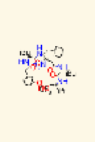 CCC(C)[C@H](NC(=O)Cc1cccc(OC(F)(F)F)c1)C(=O)NC(Cc1ccccc1)[C@@H](N)CC(=O)NC(C(=O)N[C@H](CO)C(C)C)[C@@H](C)CC